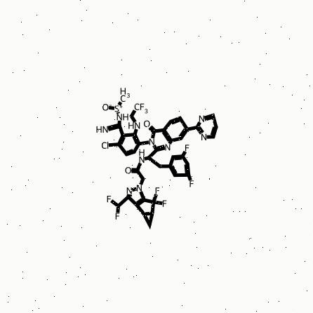 C[S+]([O-])NC(=N)c1c(Cl)ccc(-n2c(C(Cc3cc(F)cc(F)c3)NC(=O)Cn3nc(C(F)F)c4c3C(F)(F)C3CC43)nc3cc(-c4ncccn4)ccc3c2=O)c1NCC(F)(F)F